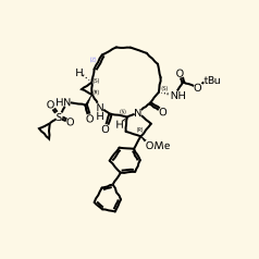 CO[C@@]1(c2ccc(-c3ccccc3)cc2)C[C@H]2C(=O)N[C@]3(C(=O)NS(=O)(=O)C4CC4)C[C@H]3/C=C\CCCCC[C@H](NC(=O)OC(C)(C)C)C(=O)N2C1